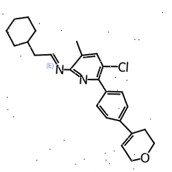 Cc1cc(Cl)c(-c2ccc(C3=CCOCC3)cc2)nc1/N=C/CC1CCCCC1